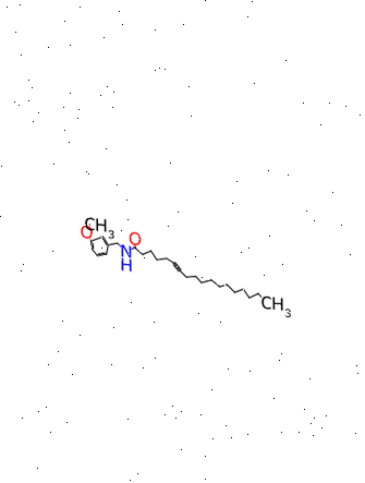 CCCCCCCCCCCC#CCCCCC(=O)NCc1cccc(OC)c1